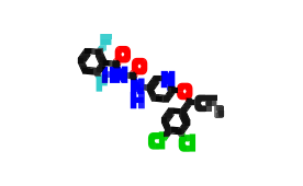 O=C(NC(=O)c1c(F)cccc1F)Nc1ccc(OC(c2ccc(Cl)c(Cl)c2)C(F)(F)F)nc1